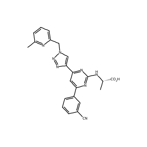 Cc1cccc(Cn2cc(-c3cc(-c4cccc(C#N)c4)nc(N[C@@H](C)C(=O)O)n3)nn2)n1